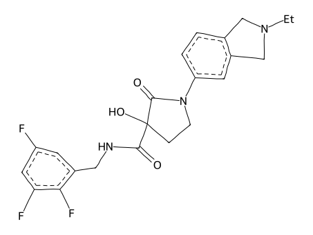 CCN1Cc2ccc(N3CCC(O)(C(=O)NCc4cc(F)cc(F)c4F)C3=O)cc2C1